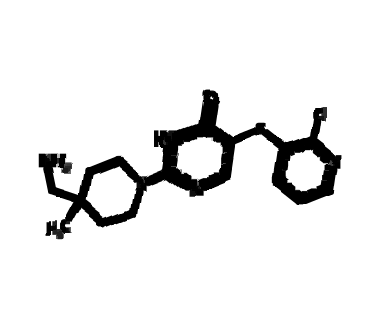 CC1(CN)CCN(c2ncc(Sc3cccnc3Cl)c(=O)[nH]2)CC1